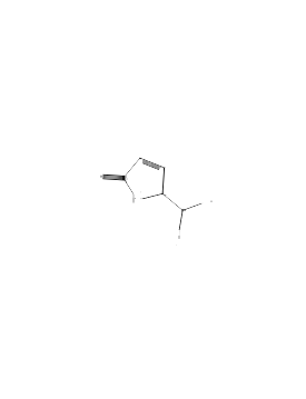 CC(C)C(O)C1C=CC(=O)N1